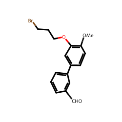 COc1ccc(-c2cccc(C=O)c2)cc1OCCCBr